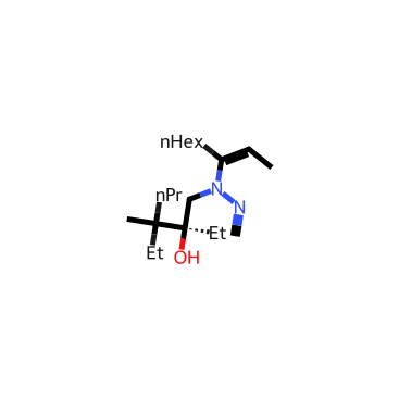 C=NN(C[C@](O)(CC)C(C)(CC)CCC)/C(=C\C)CCCCCC